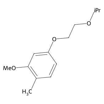 COc1cc(OCCOC(C)C)ccc1C